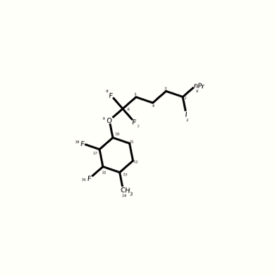 CCCC(I)CCCC(F)(F)OC1CCC(C)C(F)C1F